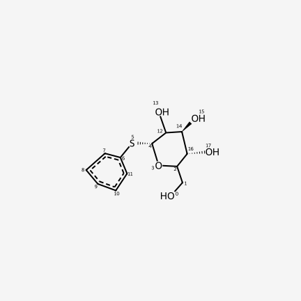 OCC1O[C@H](Sc2ccccc2)C(O)[C@@H](O)[C@@H]1O